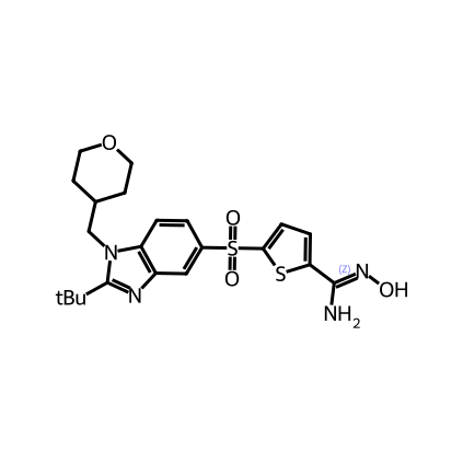 CC(C)(C)c1nc2cc(S(=O)(=O)c3ccc(/C(N)=N/O)s3)ccc2n1CC1CCOCC1